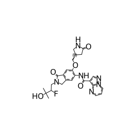 CC(C)(O)C(F)CN1Cc2cc(NC(=O)c3cnn4cccnc34)c(OC[C@H]3CNC(=O)C3)cc2C1=O